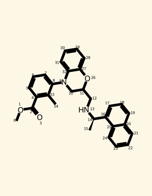 COC(=O)c1cccc(N2CC(CN[C@H](C)c3cccc4ccccc34)Oc3ccccc32)c1C